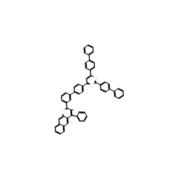 c1ccc(-c2ccc(-c3cc(-c4ccc(-c5cccc(-c6nc7cc8ccccc8cc7c7c6oc6ccccc67)c5)cc4)nc(-c4ccc(-c5ccccc5)cc4)n3)cc2)cc1